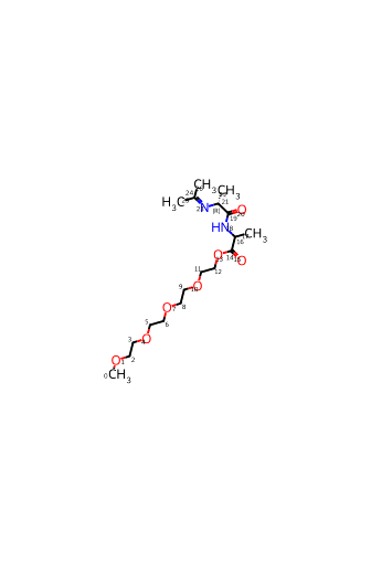 COCCOCCOCCOCCOC(=O)C(C)NC(=O)[C@@H](C)N=C(C)C